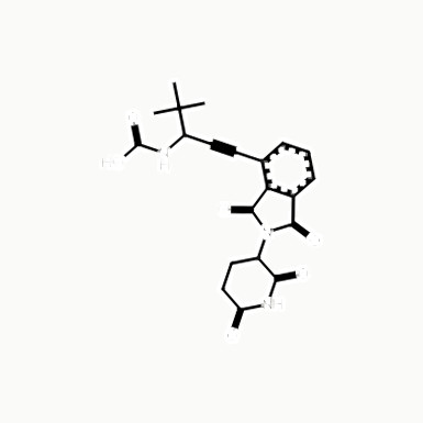 CC(C)(C)C(C#Cc1cccc2c1C(=O)N(C1CCC(=O)NC1=O)C2=O)NC(=O)O